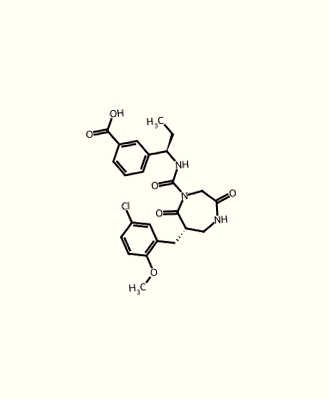 CC[C@@H](NC(=O)N1CC(=O)NC[C@H](Cc2cc(Cl)ccc2OC)C1=O)c1cccc(C(=O)O)c1